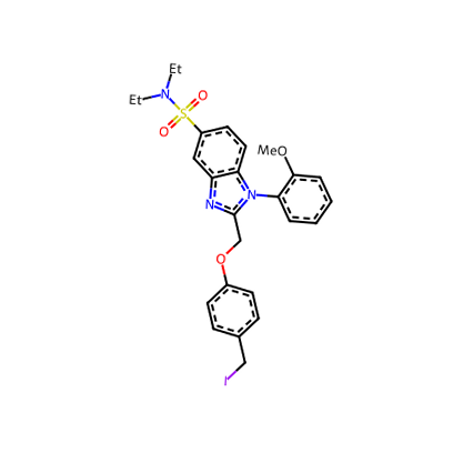 CCN(CC)S(=O)(=O)c1ccc2c(c1)nc(COc1ccc(CI)cc1)n2-c1ccccc1OC